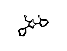 Fc1ccccc1-n1cc(-c2ccccc2)c(CBr)n1